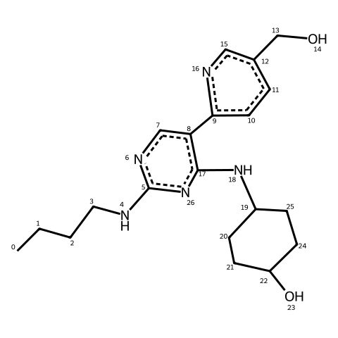 CCCCNc1ncc(-c2ccc(CO)cn2)c(NC2CCC(O)CC2)n1